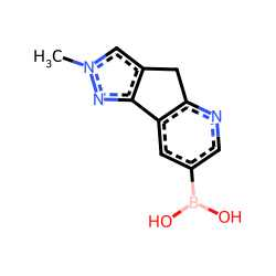 Cn1cc2c(n1)-c1cc(B(O)O)cnc1C2